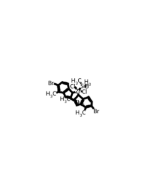 CC1=Cc2c(ccc(Br)c2C)[CH]1[Zr]([Cl])([Cl])([CH]1C(C)=Cc2c1ccc(Br)c2C)[SiH](C)C